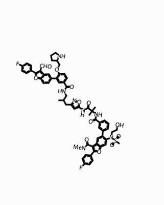 CNC(=O)c1c(-c2ccc(F)cc2)oc2cc(N(CCO)S(C)(=O)=O)c(-c3cccc(C(=O)NC(C)(C)C(=O)Nc4cc(CC(C)CNC(=O)c5ccc(OCC6CCCN6)c(-c6ccc7oc(-c8ccc(F)cc8)c(C=O)c7c6)c5)no4)c3)cc12